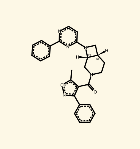 Cc1onc(-c2ccccc2)c1C(=O)N1CC[C@H]2CN(c3ccnc(-c4ccccc4)n3)[C@H]2C1